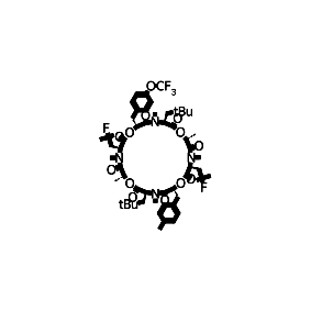 Cc1ccc(C[C@H]2OC(=O)[C@H](CC(C)(C)F)N(C)C(=O)[C@@H](C)OC(=O)[C@H](CC(C)(C)C)N(C)C(=O)[C@@H](Cc3ccc(OC(F)(F)F)cc3)OC(=O)[C@H](CC(C)(C)F)N(C)C(=O)[C@@H](C)OC(=O)[C@H](CC(C)(C)C)N(C)C2=O)cc1